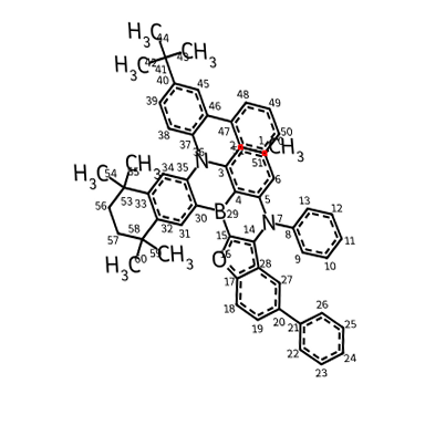 Cc1cc2c3c(c1)N(c1ccccc1)c1c(oc4ccc(-c5ccccc5)cc14)B3c1cc3c(cc1N2c1ccc(C(C)(C)C)cc1-c1ccccc1)C(C)(C)CCC3(C)C